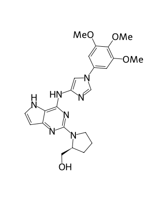 COc1cc(-n2cnc(Nc3nc(N4CCC[C@H]4CO)nc4cc[nH]c34)c2)cc(OC)c1OC